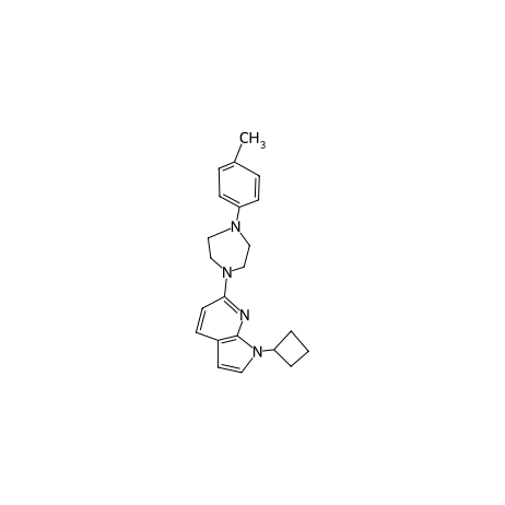 Cc1ccc(N2CCN(c3ccc4ccn(C5CCC5)c4n3)CC2)cc1